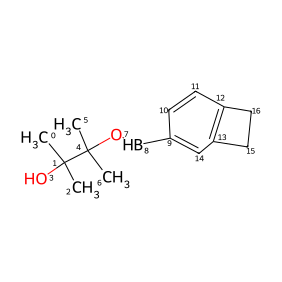 CC(C)(O)C(C)(C)OBc1ccc2c(c1)CC2